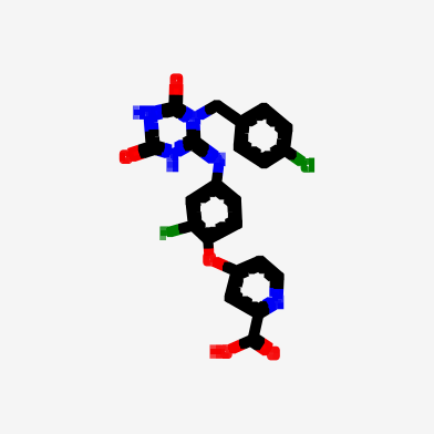 O=C(O)c1cc(Oc2ccc(/N=c3\[nH]c(=O)[nH]c(=O)n3Cc3ccc(Cl)cc3)cc2F)ccn1